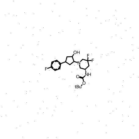 CC(C)(C)OC(=O)N[C@H]1CN(C2CC(c3ccc(F)cc3)CC2O)CC(F)(F)C1